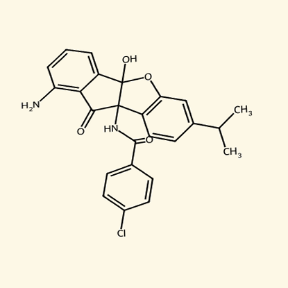 CC(C)c1ccc2c(c1)OC1(O)c3cccc(N)c3C(=O)C21NC(=O)c1ccc(Cl)cc1